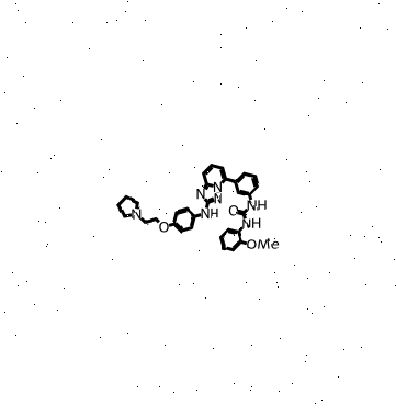 COc1ccccc1NC(=O)Nc1cccc(-c2cccc3nc(Nc4ccc(OCCN5CCCC5)cc4)nn23)c1